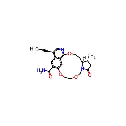 CC#Cc1cnc2c3cc(c(C(N)=O)cc13)OCCOCN1C(=O)C[C@@H](C)[C@H]1CCO2